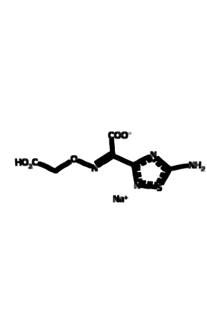 Nc1nc(/C(=N/OCC(=O)O)C(=O)[O-])ns1.[Na+]